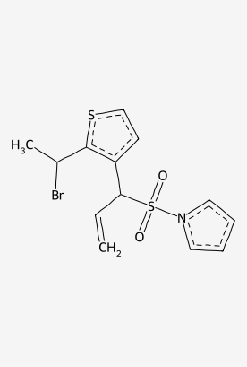 C=CC(c1ccsc1C(C)Br)S(=O)(=O)n1cccc1